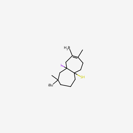 BC1=C(C)CCC2(S)CCCC(C)(C(C)CC)CC2(I)C1